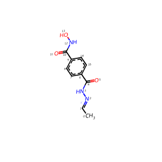 C/C=N/NC(=O)c1ccc(C(=O)NO)cc1